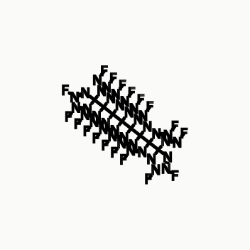 FN=NC(N=NF)(N=NF)C(N=NF)(N=NF)C(N=NF)(N=NF)C(N=NF)(N=NF)C(N=NF)(N=NF)C(N=NF)(N=NF)C(N=NF)(N=NF)C(N=NF)(N=NF)N=NF